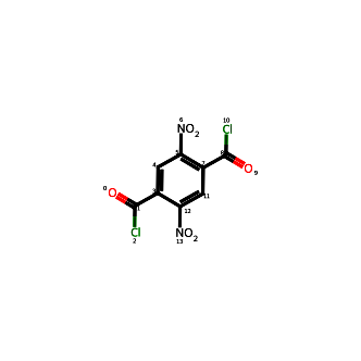 O=C(Cl)c1cc([N+](=O)[O-])c(C(=O)Cl)cc1[N+](=O)[O-]